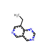 CCc1cncc2cncnc12